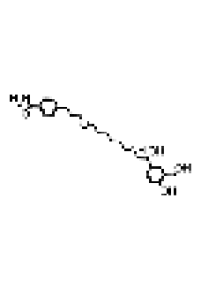 NC(=O)c1ccc(CCCOCCCCCCNCC(O)c2ccc(O)c(CO)c2)cc1